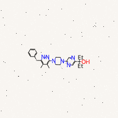 CCC(O)(CC)c1cnc(N2CCN(c3nnc(Cc4ccccc4)c(C)c3C)C[C@H]2C)cn1